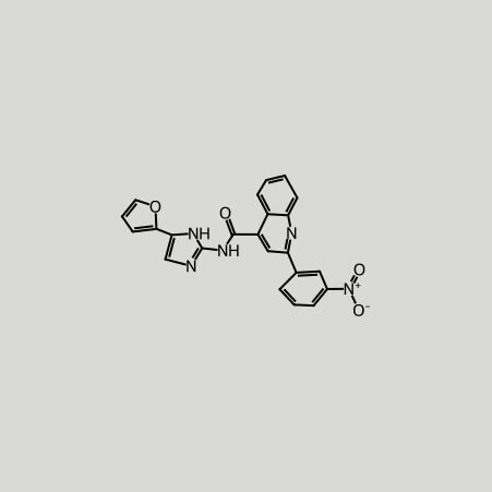 O=C(Nc1ncc(-c2ccco2)[nH]1)c1cc(-c2cccc([N+](=O)[O-])c2)nc2ccccc12